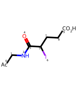 CC(=O)CNC(=O)C(I)CCC(=O)O